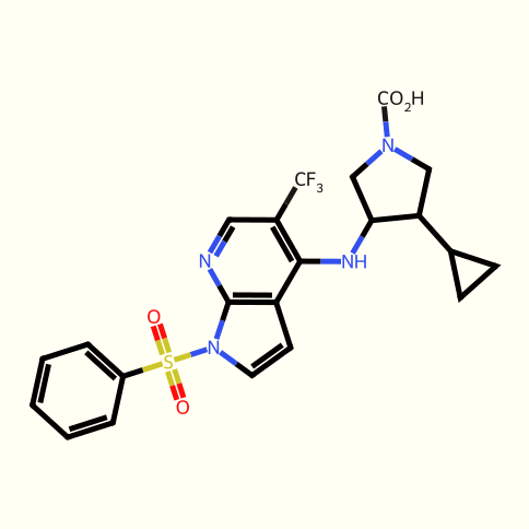 O=C(O)N1CC(Nc2c(C(F)(F)F)cnc3c2ccn3S(=O)(=O)c2ccccc2)C(C2CC2)C1